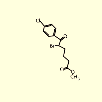 COC(=O)CCCC(Br)C(=O)c1ccc(Cl)cc1